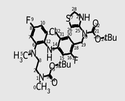 CN(CCN(C)c1cc(F)ccc1Nc1cc(F)c(CN(C(=O)OC(C)(C)C)C2=CSCN2)cc1Cl)C(=O)OC(C)(C)C